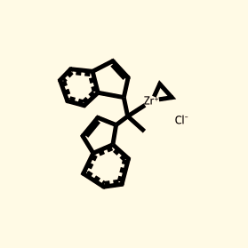 C[C](C1C=Cc2ccccc21)(C1C=Cc2ccccc21)[Zr+]1[CH2][CH2]1.[Cl-]